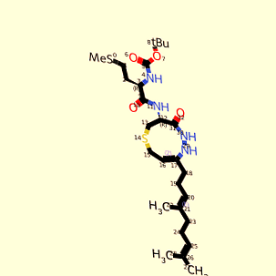 CSCC[C@@H](NC(=O)OC(C)(C)C)C(=O)N[C@H]1CSC/C=C(/CC/C=C(\C)CCC=C(C)C)NNC1=O